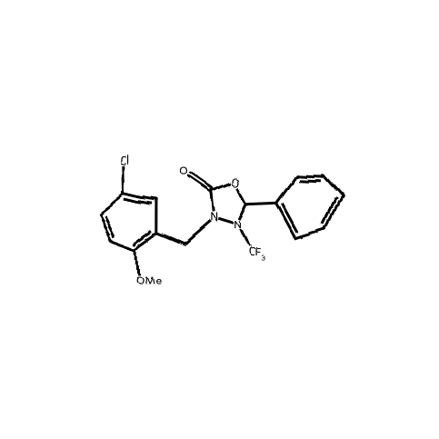 COc1ccc(Cl)cc1CN1C(=O)OC(c2ccccc2)N1C(F)(F)F